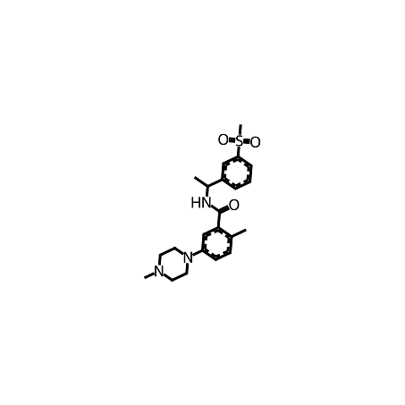 Cc1ccc(N2CCN(C)CC2)cc1C(=O)NC(C)c1cccc(S(C)(=O)=O)c1